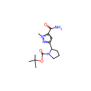 Cn1nc(C2CCCN2C(=O)OC(C)(C)C)cc1C(N)=O